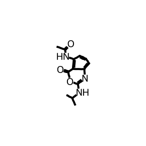 CC(=O)Nc1cccc2nc(NC(C)C)oc(=O)c12